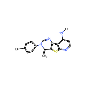 C=C1c2sc3nccc(NCC)c3c2N=CN1c1ccc(CC)cc1